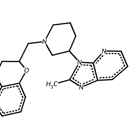 Cc1nc2cccnc2n1C1CCCN(CC2COc3ccccc3O2)C1